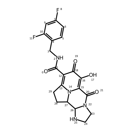 O=C(NCc1ccc(F)cc1F)c1c2n3c(c(O)c1=O)C(=O)N1CCNC1C3CC2